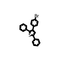 Brc1ccc(-c2cc(-c3ccccc3)sc2-c2ccccc2)cc1